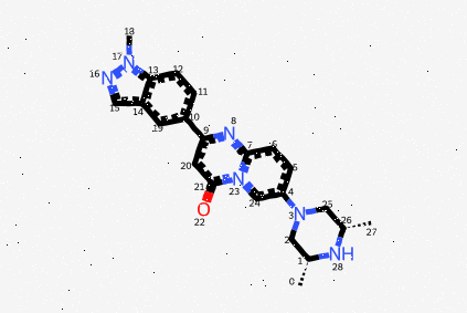 C[C@@H]1CN(c2ccc3nc(-c4ccc5c(cnn5C)c4)cc(=O)n3c2)C[C@H](C)N1